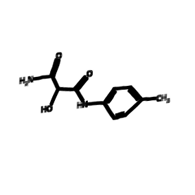 Cc1ccc(NC(=O)C(O)C(N)=O)cc1